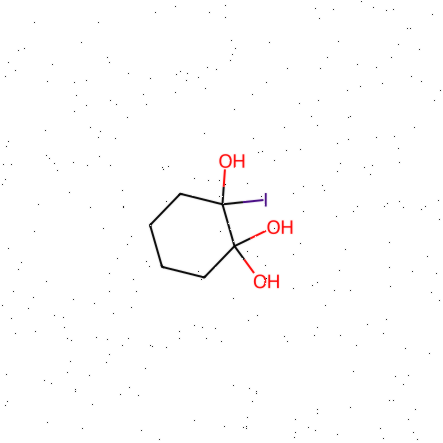 OC1(O)CCCCC1(O)I